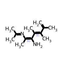 C=C(C)/C(C)=C(C)/C(N)=C(/C)N=C(C)C